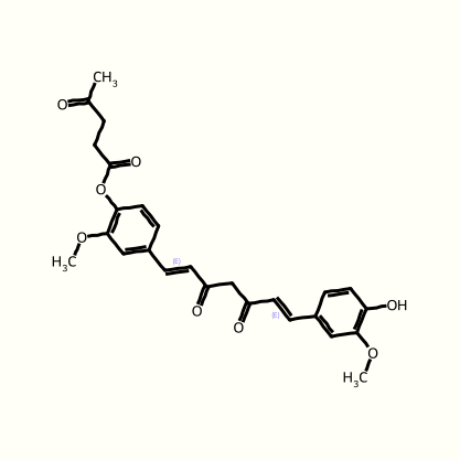 COc1cc(/C=C/C(=O)CC(=O)/C=C/c2ccc(OC(=O)CCC(C)=O)c(OC)c2)ccc1O